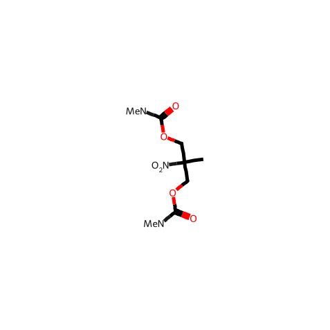 CNC(=O)OCC(C)(COC(=O)NC)[N+](=O)[O-]